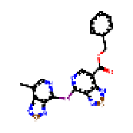 Cc1cnc(Pc2ncc(C(=O)OCc3ccccc3)c3nsnc23)c2nsnc12